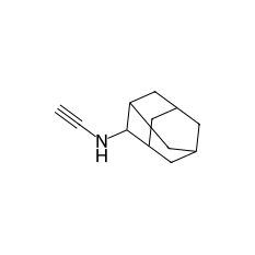 C#CNC1C2CC3CC(C2)CC1C3